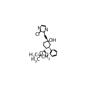 CC(C)(C)OC(=O)[C@@H]1CCC(O)(C#Cc2nccnc2Cl)C[C@H]1c1ccccc1